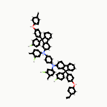 C=Cc1ccc(Oc2ccc(C3(c4ccc(F)cc4)c4ccccc4-c4ccc(N(c5ccc(N(c6ccc(C)c(F)c6)c6ccc7c(c6)C(c6ccc(F)cc6)(c6ccc(Oc8ccc(C)cc8)cc6)c6ccccc6-7)cc5)c5ccc(C)c(F)c5)cc43)cc2)cc1